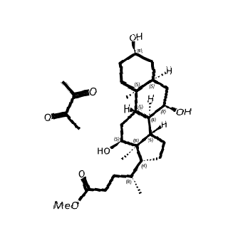 CC(=O)C(C)=O.COC(=O)CC[C@@H](C)[C@H]1CC[C@H]2[C@@H]3[C@H](O)C[C@@H]4C[C@H](O)CC[C@]4(C)[C@H]3C[C@H](O)[C@]12C